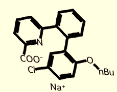 CCCCOc1ccc(Cl)cc1-c1ccccc1-c1cccc(C(=O)[O-])n1.[Na+]